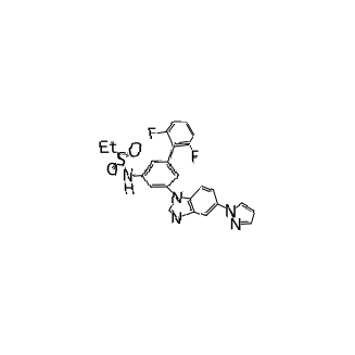 CCS(=O)(=O)Nc1cc(-c2c(F)cccc2F)cc(-n2cnc3cc(-n4cccn4)ccc32)c1